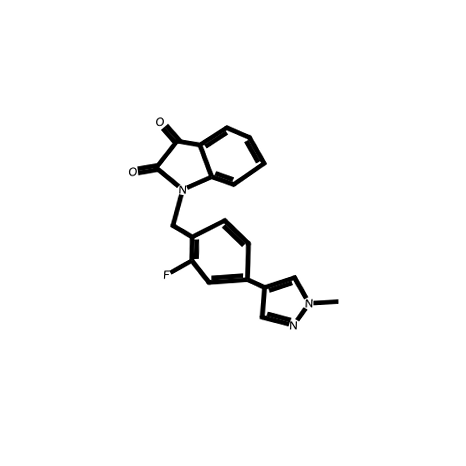 Cn1cc(-c2ccc(CN3C(=O)C(=O)c4ccccc43)c(F)c2)cn1